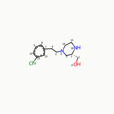 OC[C@@H]1CN(CCc2cccc(Cl)c2)CCN1